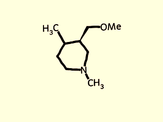 COC[C@H]1CN(C)CCC1C